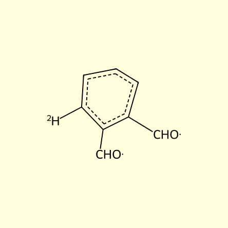 [2H]c1cccc([C]=O)c1[C]=O